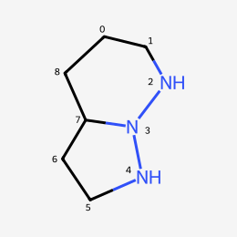 C1CNN2NCCC2C1